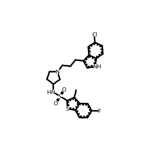 Cc1c(S(=O)(=O)NC2CCN(CCCc3c[nH]c4ccc(Cl)cc34)C2)sc2ccc(F)cc12